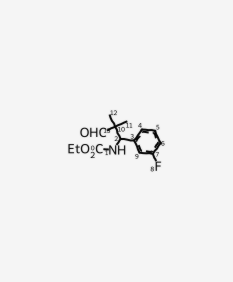 CCOC(=O)NC(c1cccc(F)c1)C(C)(C)C=O